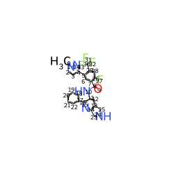 Cn1ccc(-c2cc(C(=O)Nc3cc4c(nc3-c3ccccc3)CNC4)c(F)cc2C(F)(F)F)n1